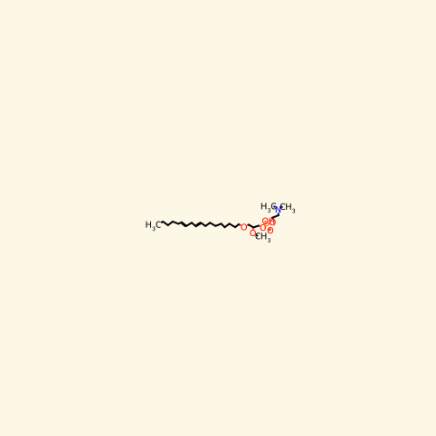 CCCCC/C=C/C/C=C/CCCCCCCCOCC(COP(=O)(O)OCCN(C)C)OC